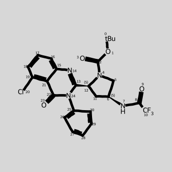 CC(C)(C)OC(=O)N1C[C@@H](NC(=O)C(F)(F)F)C[C@H]1c1nc2cccc(Cl)c2c(=O)n1-c1ccccc1